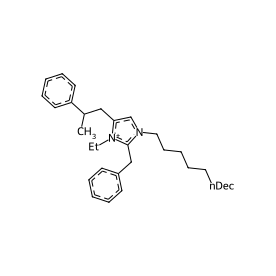 CCCCCCCCCCCCCCCn1cc(CC(C)c2ccccc2)[n+](CC)c1Cc1ccccc1